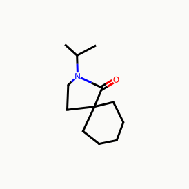 CC(C)N1CCC2(CCCCC2)C1=O